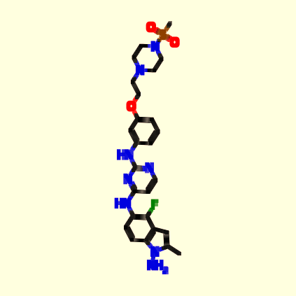 Cc1cc2c(F)c(Nc3ccnc(Nc4cccc(OCCN5CCN(S(C)(=O)=O)CC5)c4)n3)ccc2n1N